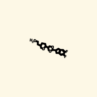 CCCC1CCC(C2COC(C3Cc4cc(F)c(F)cc4C3)OC2)OC1